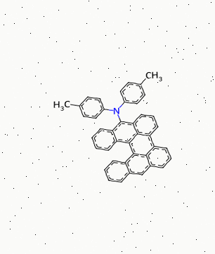 Cc1ccc(N(c2ccc(C)cc2)c2c3ccccc3c3c4c2cccc4c2cccc4cc5ccccc5c3c42)cc1